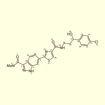 CNC(=O)c1n[nH]c2cc(-c3nc(C(=O)NCCC(O)c4ccc(Cl)cc4)cs3)ccc12